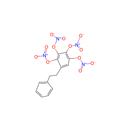 O=[N+]([O-])Oc1cc(CCc2ccccc2)c(O[N+](=O)[O-])c(O[N+](=O)[O-])c1O[N+](=O)[O-]